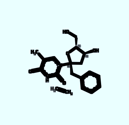 C=C.Cc1cn([C@@]2(Cc3ccccc3)C[C@H](O)[C@@H](CO)O2)c(=O)[nH]c1=O